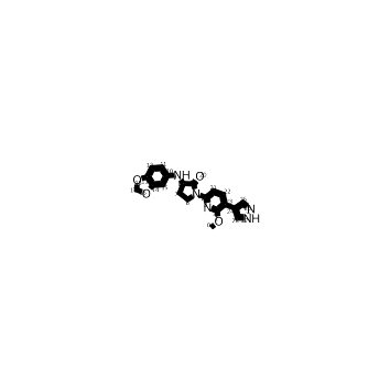 COc1nc(N2CCC(Nc3ccc4c(c3)OCO4)C2=O)ccc1-c1cn[nH]c1